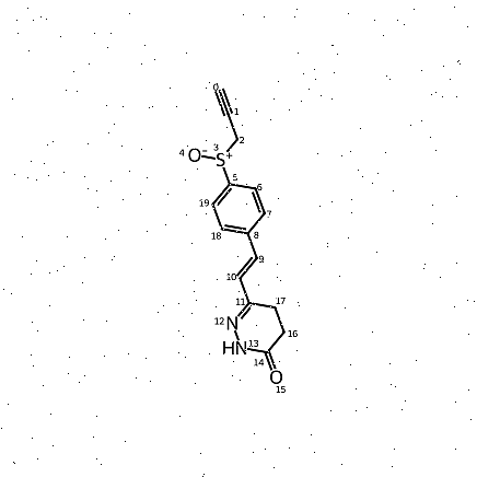 C#CC[S+]([O-])c1ccc(C=CC2=NNC(=O)CC2)cc1